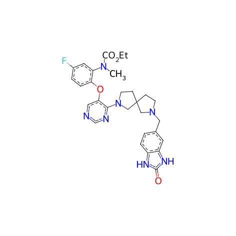 CCOC(=O)N(C)c1cc(F)ccc1Oc1cncnc1N1CCC2(CCN(Cc3ccc4[nH]c(=O)[nH]c4c3)C2)C1